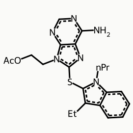 CCCn1c(Sc2nc3c(N)ncnc3n2CCOC(C)=O)c(CC)c2ccccc21